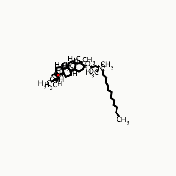 CCCCCCCCCCCCCC[N+](C)(C)CC(=O)O[C@H]1CC[C@]2(C)[C@H]3CC[C@@H]4[C@H]5[C@H]6OC[C@@]5(CCC6(C)C)CC[C@@]4(C)[C@]3(C)CC[C@H]2C1(C)C